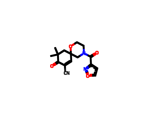 CC1(C)CC2(C=C(C#N)C1=O)CN(C(=O)c1ccon1)CCO2